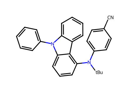 CC(C)(C)N(c1ccc(C#N)cc1)c1cccc2c1c1ccccc1n2-c1ccccc1